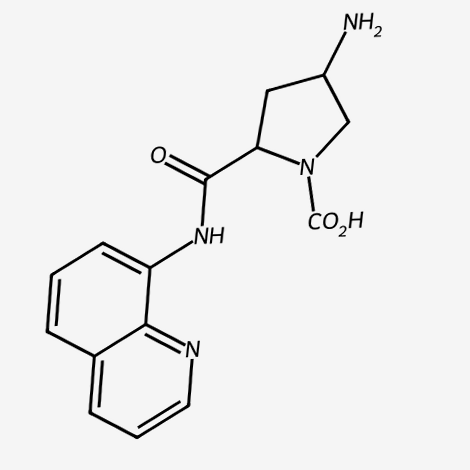 NC1CC(C(=O)Nc2cccc3cccnc23)N(C(=O)O)C1